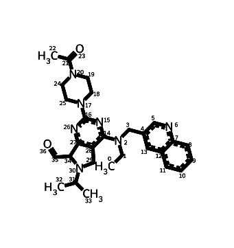 CCN(Cc1cnc2ccccc2c1)c1nc(N2CCN(C(C)=O)CC2)nc2c1CN(C(C)C)C2C=O